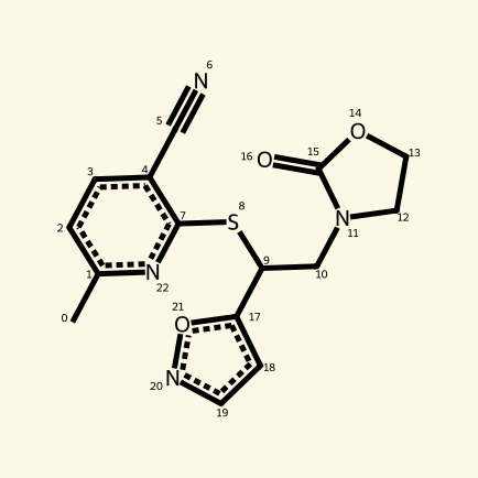 Cc1ccc(C#N)c(SC(CN2CCOC2=O)c2ccno2)n1